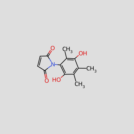 Cc1c(C)c(O)c(N2C(=O)C=CC2=O)c(C)c1O